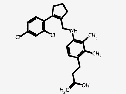 C=C(O)CCc1ccc(NCC2=C(c3ccc(Cl)cc3Cl)CCC2)c(C)c1C